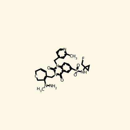 Cc1cc(Cn2c(=O)n(CC3=C(N(C)N)CCCC=C3)c(=O)c3cc(S(=O)(=O)NC4(CF)CC4)ccc32)ccn1